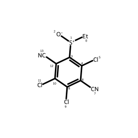 CC[S+]([O-])c1c(Cl)c(C#N)c(Cl)c(Cl)c1C#N